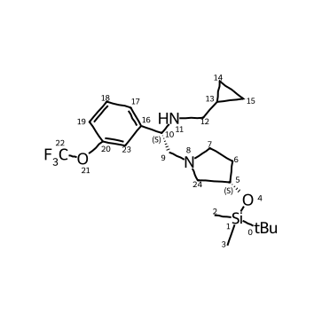 CC(C)(C)[Si](C)(C)O[C@H]1CCN(C[C@@H](NCC2CC2)c2cccc(OC(F)(F)F)c2)C1